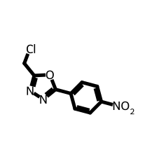 O=[N+]([O-])c1ccc(-c2nnc(CCl)o2)cc1